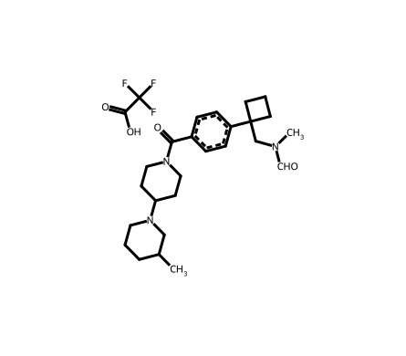 CC1CCCN(C2CCN(C(=O)c3ccc(C4(CN(C)C=O)CCC4)cc3)CC2)C1.O=C(O)C(F)(F)F